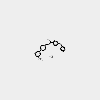 Cl.OC(CCN1CC=C(c2cccc(C(F)(F)F)c2)CC1)c1ccc(Cc2ccccc2)cc1